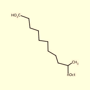 CCCCCCCCC(C)CCCCCCCCC(=O)O